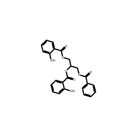 CC(=O)Oc1ccccc1C(=O)OCC(COC(=O)c1ccccc1)OC(=O)c1ccccc1OC(C)=O